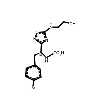 O=C(O)N[C@@H](Cc1ccc(Br)cc1)c1noc(NCCO)n1